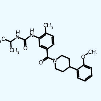 COc1ccccc1C1CCN(C(=O)c2ccc(C)c(NC(=O)NC(C)C)c2)CC1